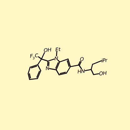 CCn1c(C(O)(c2ccccc2)C(F)(F)F)nc2ccc(C(=O)NC(CO)CC(C)C)cc21